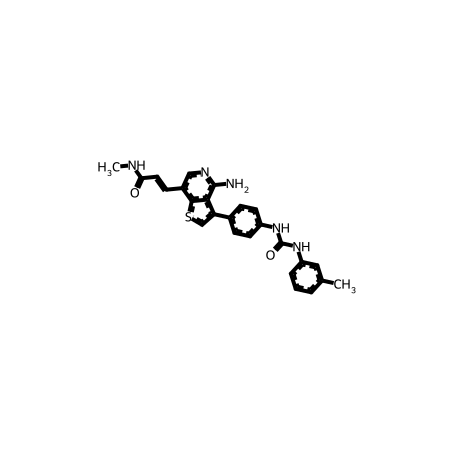 CNC(=O)C=Cc1cnc(N)c2c(-c3ccc(NC(=O)Nc4cccc(C)c4)cc3)csc12